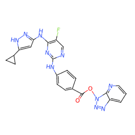 O=C(On1nnc2cccnc21)c1ccc(Nc2ncc(F)c(Nc3cc(C4CC4)[nH]n3)n2)cc1